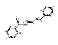 O=C(NN=C/C=C/c1ccccc1)c1ccncc1